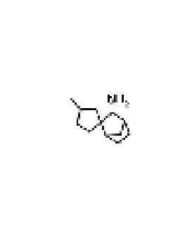 CC1CCC2(C1)C1CCC(C1)[C@H]2N